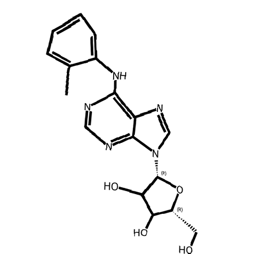 Cc1ccccc1Nc1ncnc2c1ncn2[C@@H]1O[C@H](CO)C(O)C1O